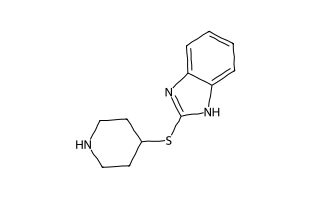 c1ccc2[nH]c(SC3CCNCC3)nc2c1